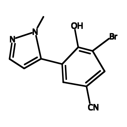 Cn1nccc1-c1cc(C#N)cc(Br)c1O